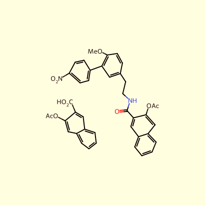 CC(=O)Oc1cc2ccccc2cc1C(=O)O.COc1ccc(CCNC(=O)c2cc3ccccc3cc2OC(C)=O)cc1-c1ccc([N+](=O)[O-])cc1